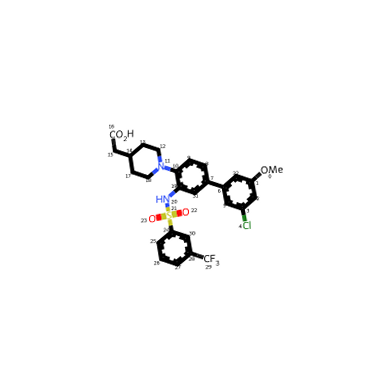 COc1cc(Cl)cc(-c2ccc(N3CCC(CC(=O)O)CC3)c(NS(=O)(=O)c3cccc(C(F)(F)F)c3)c2)c1